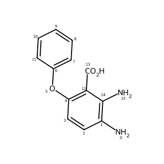 Nc1ccc(Oc2ccccc2)c(C(=O)O)c1N